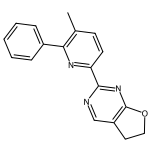 Cc1ccc(-c2ncc3c(n2)OCC3)nc1-c1ccccc1